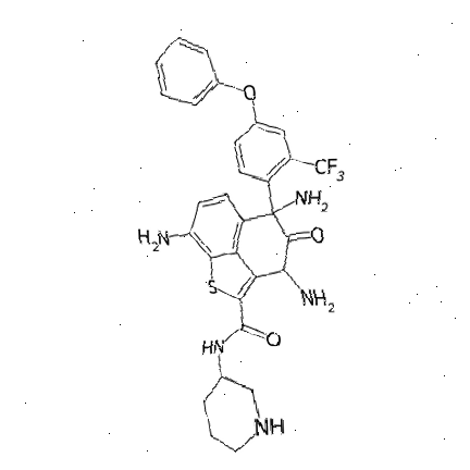 Nc1ccc2c3c(c(C(=O)NC4CCCNC4)sc13)C(N)C(=O)C2(N)c1ccc(Oc2ccccc2)cc1C(F)(F)F